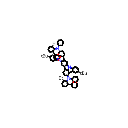 CCc1cccc(-c2ccccc2)c1N(c1ccccc1)c1ccc2c3cc4c(cc3n3c5ccc(C(C)(C)C)cc5c1c23)c1ccc(N(c2ccccc2)c2c(CC)cccc2-c2ccccc2)c2c3cc(C(C)(C)C)ccc3n4c12